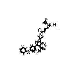 CN(C/C=C/C(=O)N1CC(n2nc(-c3ccc(Oc4ccccc4)cc3)c3c(N)ncnc32)C1)C1CC1